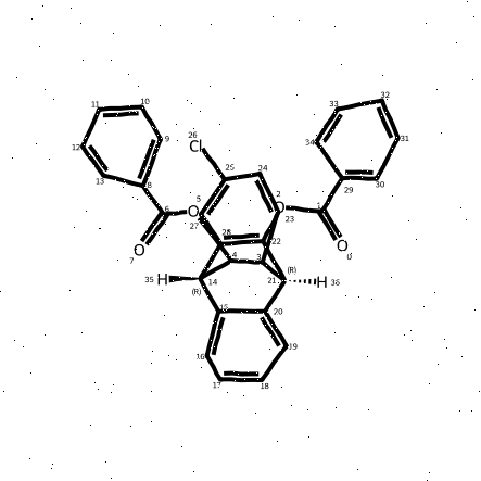 O=C(OC1C(OC(=O)c2ccccc2)[C@@H]2c3ccccc3[C@@H]1c1ccc(Cl)cc12)c1ccccc1